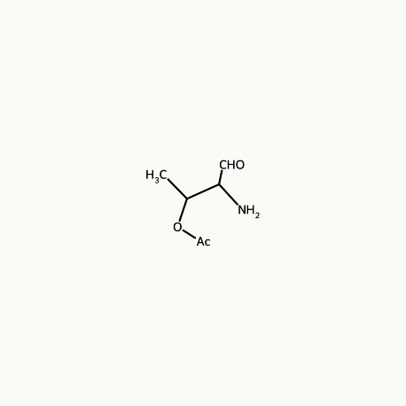 CC(=O)OC(C)C(N)C=O